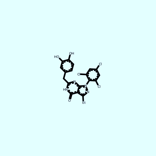 CCc1nn(-c2c(Cl)cc(Cl)cc2Cl)c2nc(Cc3ccc(O)c(O)c3)[nH]c(=O)c12